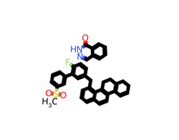 CS(=O)(=O)c1cccc(-c2cc(Cc3cccc4ccc5c(c34)CCC3=C5C=CCC3)ccc2F)c1.O=c1[nH]ncc2ccccc12